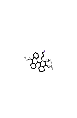 CC1C(C)C(CCCI)C(C2C3CCCCC3C(C)C3CCCCC32)C2CCCCC12